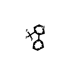 FC(F)(F)c1ccncc1-c1ccccc1